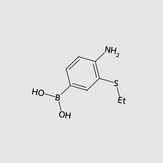 CCSc1cc(B(O)O)ccc1N